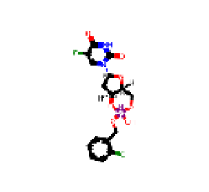 O=c1[nH]c(=O)n([C@H]2C[C@@H]3O[PH](O)(OCc4ccccc4Cl)OC[C@H]3O2)cc1F